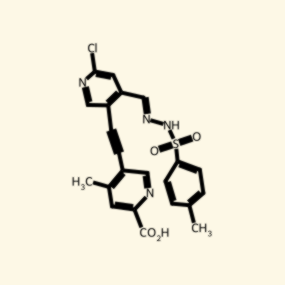 Cc1ccc(S(=O)(=O)NN=Cc2cc(Cl)ncc2C#Cc2cnc(C(=O)O)cc2C)cc1